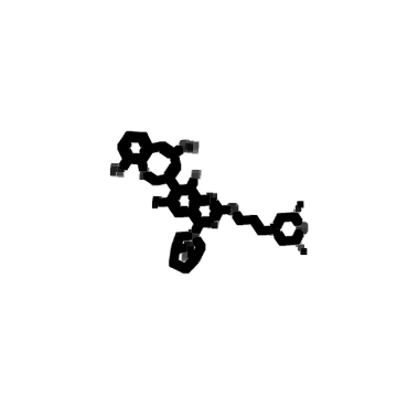 CCc1cccc2c1SC/C(c1c(F)cc3c(N4CC5CCC(C4)N5)nc(OCCCN4C[C@@H](C)O[C@@H](C)C4)nc3c1F)=C\C(O)=C/2